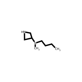 CCCCN(C)C1CNC1